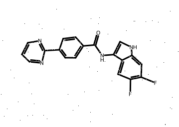 O=C(Nc1c[nH]c2cc(F)c(F)cc12)c1ccc(-c2ncccn2)cc1